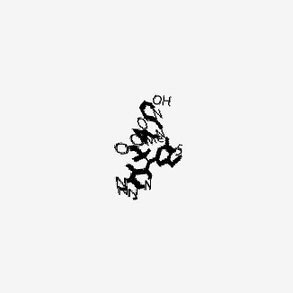 COC(=O)C(C)(C)[C@@H](c1cc(CN2Cc3nc(O)ccc3OC3(CC3)C2)c2sccc2c1)c1cnc2c(nnn2C)c1C